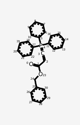 O=C(C=C=P(c1ccccc1)(c1ccccc1)c1ccccc1)OCc1ccccc1